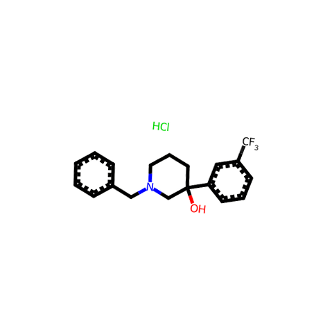 Cl.OC1(c2cccc(C(F)(F)F)c2)CCCN(Cc2ccccc2)C1